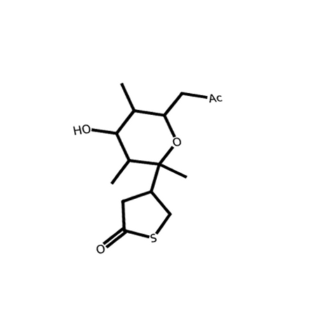 CC(=O)CC1OC(C)(C2CSC(=O)C2)C(C)C(O)C1C